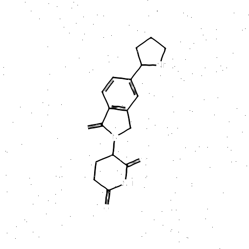 O=C1CCC(N2Cc3cc(C4CCCN4)ccc3C2=O)C(=O)N1